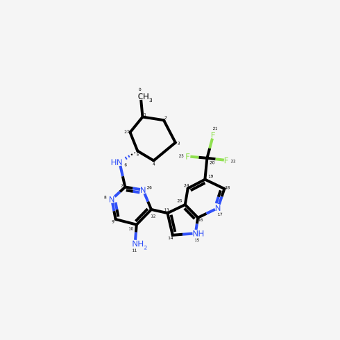 CC1CCC[C@H](Nc2ncc(N)c(-c3c[nH]c4ncc(C(F)(F)F)cc34)n2)C1